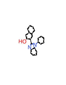 Oc1cc2ccccc2cc1-c1nc2ccccc2n1-c1ccccc1